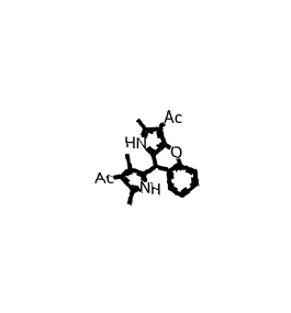 CC(=O)c1c(C)[nH]c(C2c3ccccc3Oc3c2[nH]c(C)c3C(C)=O)c1C